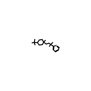 CC1(CCC(C)(C)c2ccccn2)CCC(C(C)(C)C)CC1